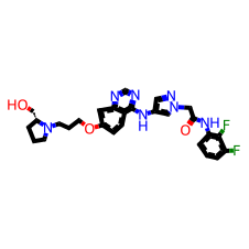 O=C(Cn1cc(Nc2ncnc3cc(OCCCN4CCC[C@@H]4CO)ccc23)cn1)Nc1cccc(F)c1F